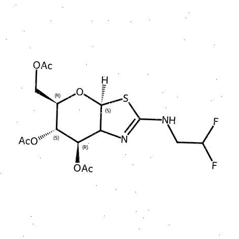 CC(=O)OC[C@H]1O[C@H]2SC(NCC(F)F)=NC2[C@@H](OC(C)=O)[C@@H]1OC(C)=O